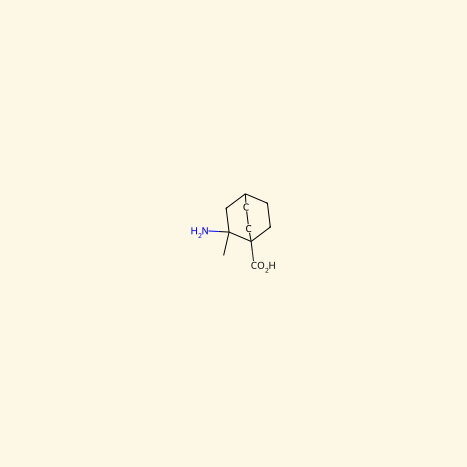 CC1(N)CC2CCC1(C(=O)O)CC2